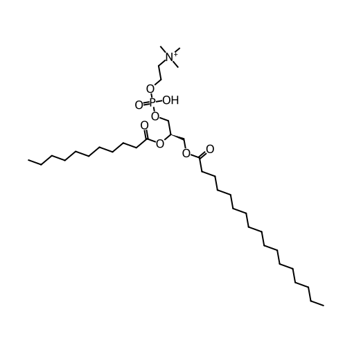 CCCCCCCCCCCCCCCCC(=O)OC[C@H](COP(=O)(O)OCC[N+](C)(C)C)OC(=O)CCCCCCCCCC